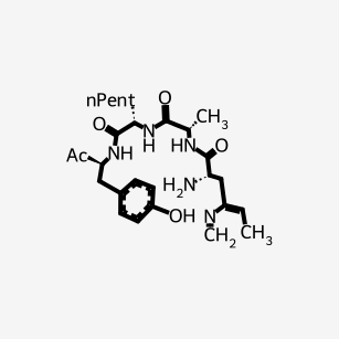 C=N/C(=C\C)C[C@H](N)C(=O)N[C@@H](C)C(=O)N[C@@H](CCCCC)C(=O)N[C@@H](Cc1ccc(O)cc1)C(C)=O